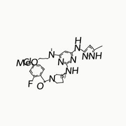 COCCN(C)c1cc(Nc2cc(C)[nH]n2)nc(N[C@H]2CCN(C(=O)c3ccc(Cl)cc3F)C2)n1